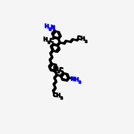 CCCCCCC(c1ccc(CCCc2ccc(C(CCCCCC)c3ccc(N)cc3C)cc2)cc1)c1ccc(N)cc1C